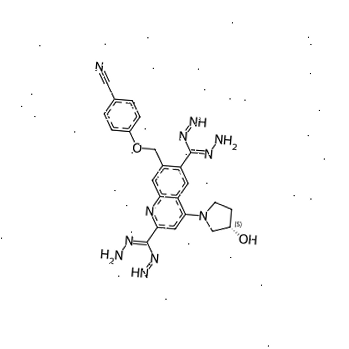 N#Cc1ccc(OCc2cc3nc(C(N=N)=NN)cc(N4CC[C@H](O)C4)c3cc2C(N=N)=NN)cc1